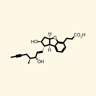 CC#CC[C@H](C)[C@H](O)/C=C/[C@H]1[C@@H]2c3cccc(CCC(=O)O)c3O[C@@H]2C[C@@H]1O